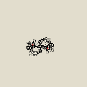 CCCCCCCCCCC(CCCCCCCCCC)Cc1ccc(-c2c3cc(-c4sc(C5(C)C(=O)c6ccccc6C5=C(C#N)C#N)cc4CC(CC)CCCC)sc3c(-c3ccc(CC(CCCCCCCCCC)CCCCCCCCCC)s3)c3cc(-c4sc(C5(C)C(=O)c6ccccc6C5=C(C#N)C#N)cc4CC(CC)CCCC)sc23)s1